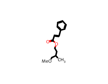 COCC(C)CCOC(=O)C=Cc1ccccc1